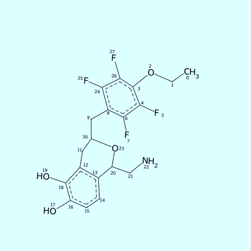 CCOc1c(F)c(F)c(CC2Cc3c(ccc(O)c3O)C(CN)O2)c(F)c1F